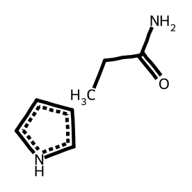 CCC(N)=O.c1cc[nH]c1